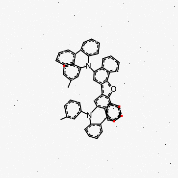 Cc1cccc(N(c2ccccc2-c2ccccc2)c2cc3c4cc(N(c5cccc(C)c5)c5ccccc5-c5ccccc5)c5ccccc5c4oc3c3ccccc23)c1